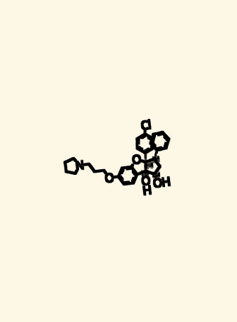 O[C@H]1C[C@@H](c2ccccc2)[C@]2(c3ccc(Cl)cc3)Oc3cc(OCCCN4CCCC4)ccc3[C@]12O